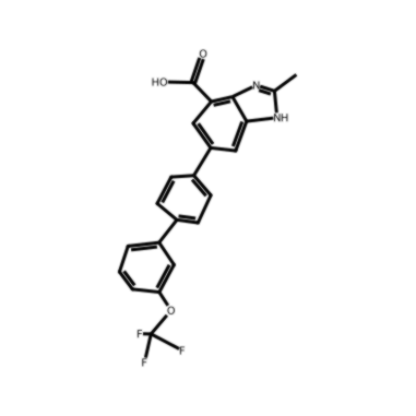 Cc1nc2c(C(=O)O)cc(-c3ccc(-c4cccc(OC(F)(F)F)c4)cc3)cc2[nH]1